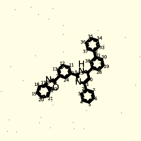 C1=C(c2ccccc2)N=C(c2cccc(-c3nc4ccccc4o3)c2)NC1c1cccc(-c2ccccc2)c1